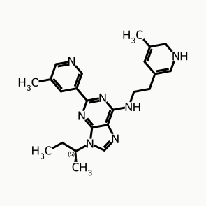 CC[C@H](C)n1cnc2c(NCCC3=CNCC(C)=C3)nc(-c3cncc(C)c3)nc21